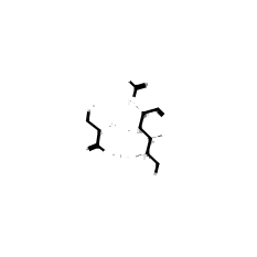 CC(=O)N[C@@H](C=O)[C@@H](O)[C@@H](O)[C@H](O)CO.N[C@@H](CO)C(=O)O